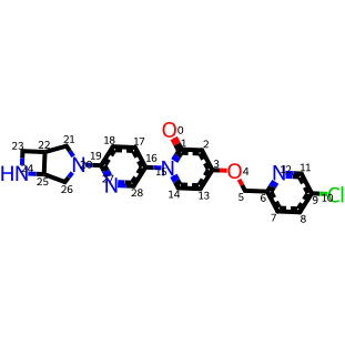 O=c1cc(OCc2ccc(Cl)cn2)ccn1-c1ccc(N2CC3CNC3C2)nc1